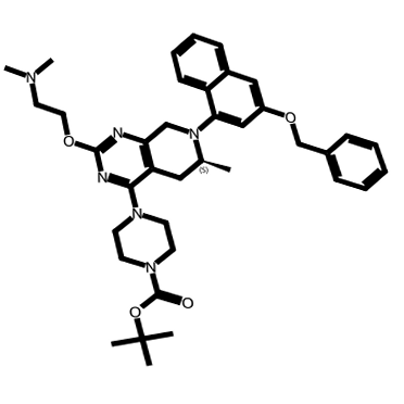 C[C@H]1Cc2c(nc(OCCN(C)C)nc2N2CCN(C(=O)OC(C)(C)C)CC2)CN1c1cc(OCc2ccccc2)cc2ccccc12